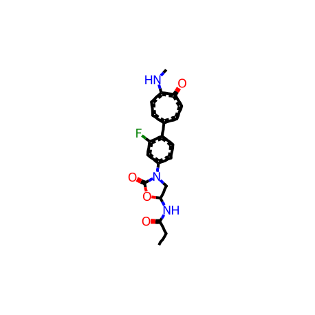 CCC(=O)NC1CN(c2ccc(-c3ccc(NC)c(=O)cc3)c(F)c2)C(=O)O1